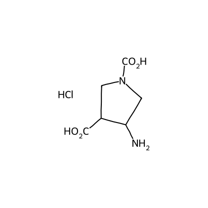 Cl.NC1CN(C(=O)O)CC1C(=O)O